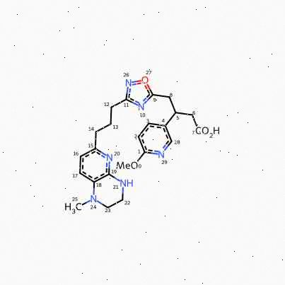 COc1ccc(C(CC(=O)O)Cc2nc(CCCc3ccc4c(n3)NCCN4C)no2)cn1